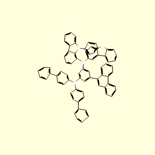 c1ccc(-c2ccc(N(c3ccc(-c4ccccc4)cc3)c3cc(-c4cc5ccccc5c5ccccc45)cc(N(c4ccc5oc6ccccc6c5c4)c4cccc5c6ccccc6n(-c6ccccc6)c45)c3)cc2)cc1